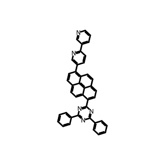 c1ccc(-c2nc(-c3ccccc3)nc(-c3ccc4ccc5c(-c6ccc(-c7cccnc7)nc6)ccc6ccc3c4c65)n2)cc1